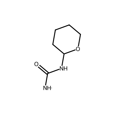 [NH]C(=O)NC1CCCCO1